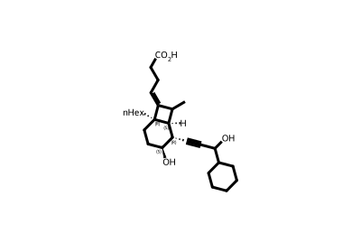 CCCCCC[C@@]12CC[C@H](O)[C@@H](C#CC(O)C3CCCCC3)[C@@H]1C(C)C2=CCCC(=O)O